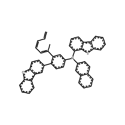 C=C/C=C\C=C(/C)c1cc(N(c2ccc3ccccc3c2)c2cccc3c2sc2ccccc23)ccc1-c1ccc2oc3ccccc3c2c1